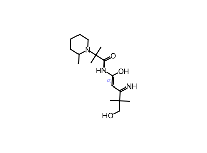 CC1CCCCN1C(C)(C)C(=O)N/C(O)=C/C(=N)C(C)(C)CO